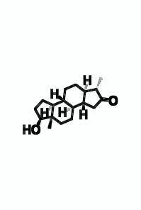 C[C@@H]1C(=O)C[C@@H]2[C@H]3CC[C@]4(C)[C@@H](O)CC[C@H]4[C@@H]3CC[C@H]21